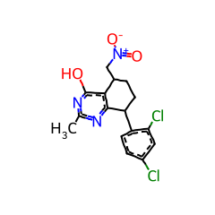 Cc1nc(O)c2c(n1)C(c1ccc(Cl)cc1Cl)CCC2C[N+](=O)[O-]